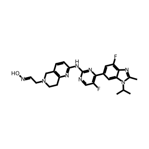 Cc1nc2c(F)cc(-c3nc(Nc4ccc5c(n4)CCN(C/C=N/O)C5)ncc3F)cc2n1C(C)C